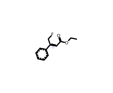 CCOC(=O)/C=C(\CF)c1ccccc1